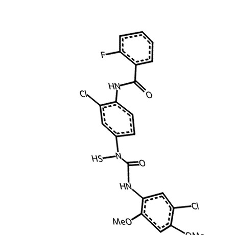 COc1cc(OC)c(NC(=O)N(S)c2ccc(NC(=O)c3ccccc3F)c(Cl)c2)cc1Cl